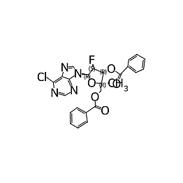 C[C@]1(COC(=O)c2ccccc2)O[C@@H](n2cnc3c(Cl)ncnc32)[C@@H](F)[C@@H]1OC(=O)c1ccccc1